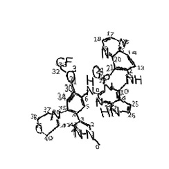 Cn1cc(-c2cc(Nc3nc(Nc4ccc5nccnc5c4P=O)c4cc[nH]c4n3)c(OCC(F)(F)F)cc2N2CCOCC2)cn1